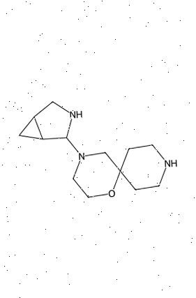 C1CC2(CCN1)CN(C1NCC3CC31)CCO2